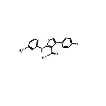 Cc1cccc(Nc2scc(-c3ccc(Br)cc3)c2C(=O)O)c1